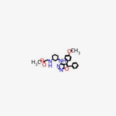 COC(=O)CN[C@@H]1CCCC(Nc2ncnc3oc(-c4ccccc4)c(-c4ccc(OC)cc4)c23)C1